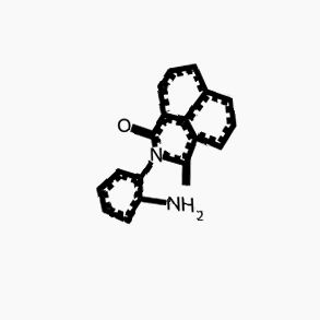 C=c1c2cccc3cccc(c(=O)n1-c1ccccc1N)c32